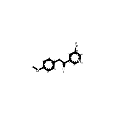 CSc1ccc(CC(=O)c2cncc(Br)c2)cc1